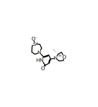 C[C@@H]1COCCN1c1cc(N2CCC[S+]([O-])CC2)[nH]c(=O)c1